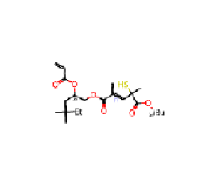 C=CC(=O)O[C@@H](COC(=O)/C(C)=C/C(C)(S)C(=O)O[C@@H](C)CC)CC(C)(C)CC